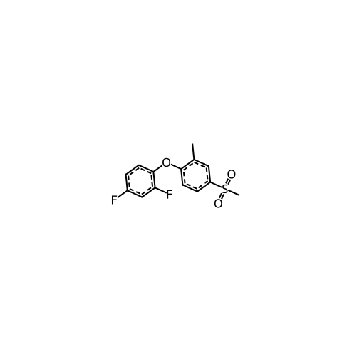 Cc1cc(S(C)(=O)=O)ccc1Oc1ccc(F)cc1F